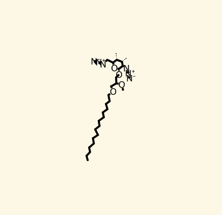 CCCCCCCCCCCCCCCCOCC(CO[C@H]1OC(CN=[N+]=[N-])[C@H](C)[C@H](C)C1N=[N+]=[N-])OC